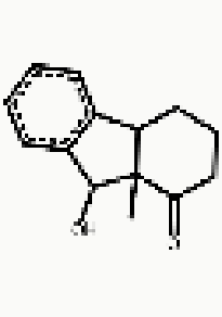 CC12C(=O)CCCC1c1ccccc1C2O